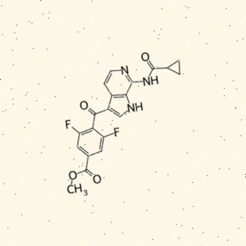 COC(=O)c1cc(F)c(C(=O)c2c[nH]c3c(NC(=O)C4CC4)nccc23)c(F)c1